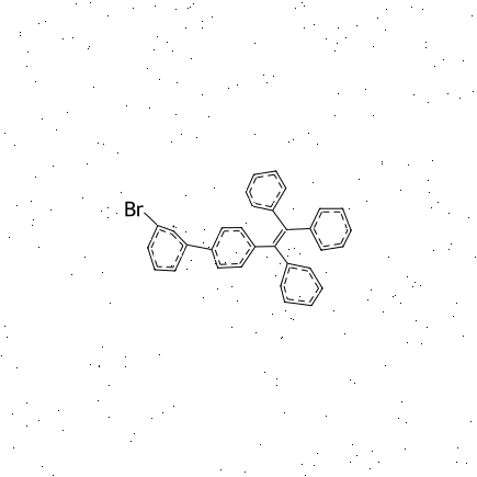 Brc1[c]c(-c2ccc(C(=C(c3ccccc3)c3ccccc3)c3ccccc3)cc2)ccc1